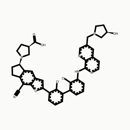 N#Cc1c2c(cc3cc(-c4cccc(-c5cccc(Nc6nccc7cc(CN8CC[C@@H](O)C8)cnc67)c5Cl)c4Cl)oc13)[C@H](N1CC[C@@H](C(=O)O)C1)CC2